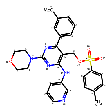 COc1cccc(-c2nc(N3CCOCC3)nc(Nc3cccnc3)c2COS(=O)(=O)c2ccc(C)cc2)c1